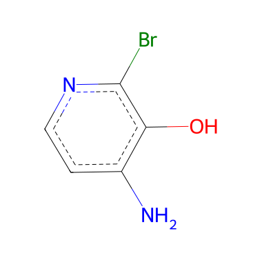 Nc1ccnc(Br)c1O